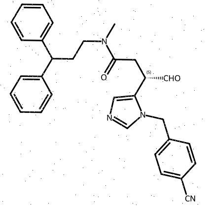 CN(CCC(c1ccccc1)c1ccccc1)C(=O)C[C@H](C=O)c1cncn1Cc1ccc(C#N)cc1